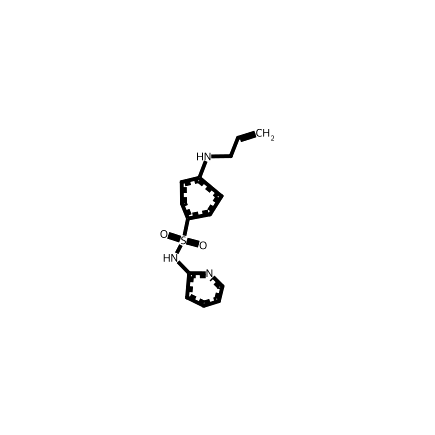 C=CCNc1ccc(S(=O)(=O)Nc2ccccn2)cc1